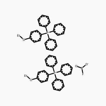 CCOc1ccc([P+](c2ccccc2)(c2ccccc2)c2ccccc2)cc1.CCOc1ccc([P+](c2ccccc2)(c2ccccc2)c2ccccc2)cc1.[O-]B([O-])F